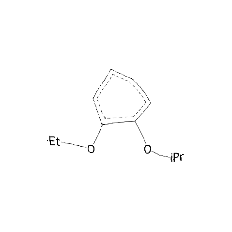 C[CH]Oc1ccccc1OC(C)C